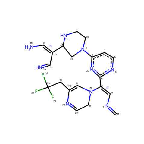 C=N/C=C(/c1nccc(N2CCNC(/C(C=N)=C/N)C2)n1)N1C=C(CC(F)(F)F)N=CC1